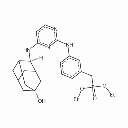 CCOP(=O)(Cc1cccc(Nc2nccc(N[C@H]3C4CC5CC3C[C@](O)(C5)C4)n2)c1)OCC